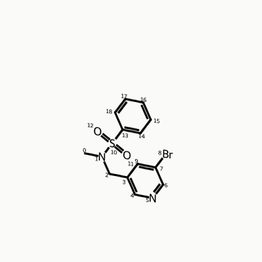 CN(Cc1cncc(Br)c1)S(=O)(=O)c1ccccc1